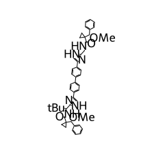 COC(c1ccccc1)C1(C(=O)NCc2nc(-c3ccc(-c4ccc(-c5c[nH]c(C(NC(=O)C6(C(OC)c7ccccc7)CC6)C(C)(C)C)n5)cc4)cc3)c[nH]2)CC1